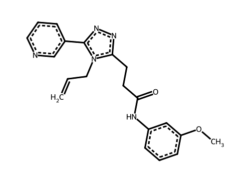 C=CCn1c(CCC(=O)Nc2cccc(OC)c2)nnc1-c1cccnc1